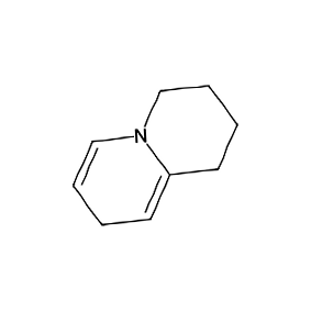 C1=CN2CCCCC2=CC1